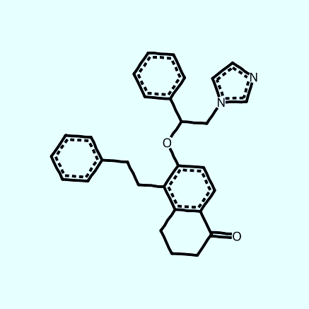 O=C1CCCc2c1ccc(OC(Cn1ccnc1)c1ccccc1)c2CCc1ccccc1